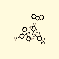 Cc1ccc(C(OC[C@H](NC(=O)OCC2c3ccccc3-c3ccccc32)C(=O)OC(C)(C)c2ccc(C(F)(F)F)cc2)(c2ccccc2)c2ccccc2)cc1